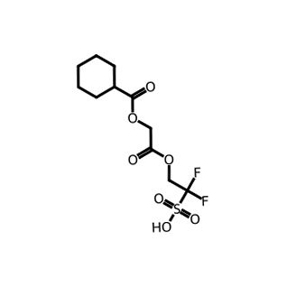 O=C(COC(=O)C1CCCCC1)OCC(F)(F)S(=O)(=O)O